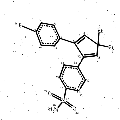 CCC1(CC)C=C(c2ccc(F)cc2)C(c2ccc(S(N)(=O)=O)nc2)=C1